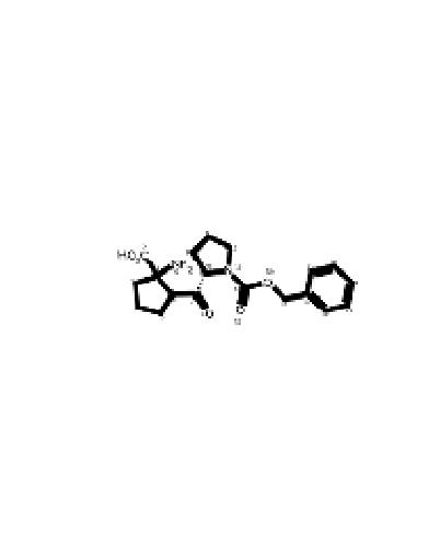 NC1(C(=O)O)CCCC1C(=O)[C@@H]1CCCN1C(=O)OCc1ccccc1